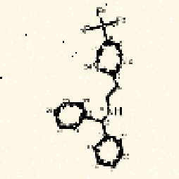 FC(F)(F)c1cnc(CCNC(c2ccccc2)c2ccccc2)nc1